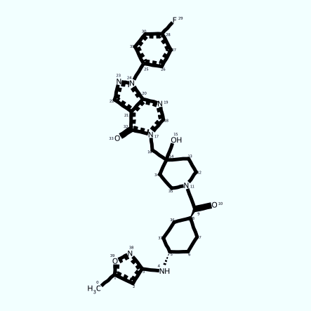 Cc1cc(N[C@H]2CC[C@H](C(=O)N3CCC(O)(Cn4cnc5c(cnn5-c5ccc(F)cc5)c4=O)CC3)CC2)no1